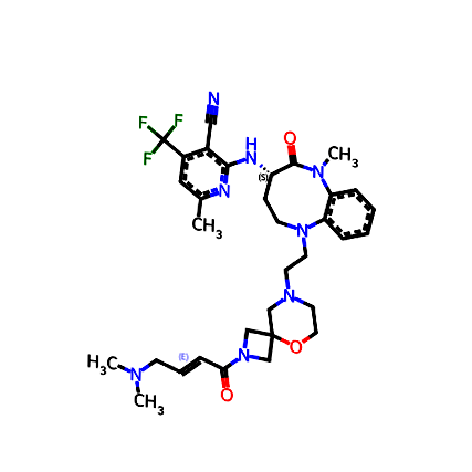 Cc1cc(C(F)(F)F)c(C#N)c(N[C@H]2CCN(CCN3CCOC4(C3)CN(C(=O)/C=C/CN(C)C)C4)c3ccccc3N(C)C2=O)n1